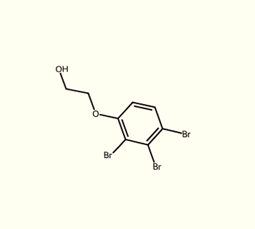 OCCOc1ccc(Br)c(Br)c1Br